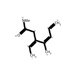 C=C/C=C(C)\C(=C/C)CC(=O)NC